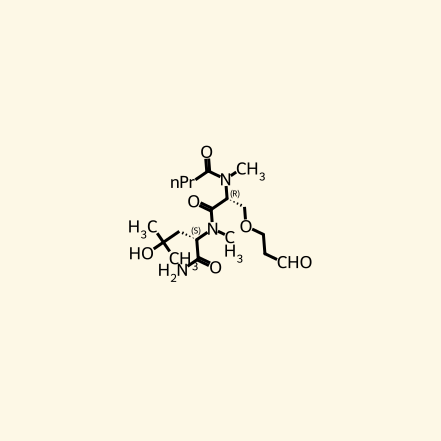 CCCC(=O)N(C)[C@H](COCCC=O)C(=O)N(C)[C@@H](CC(C)(C)O)C(N)=O